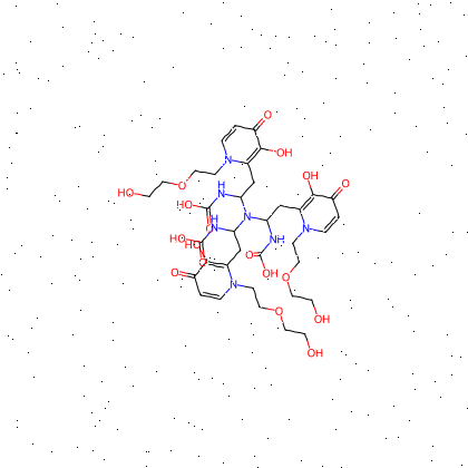 O=C(O)NC(Cc1c(O)c(=O)ccn1CCOCCO)N(C(Cc1c(O)c(=O)ccn1CCOCCO)NC(=O)O)C(Cc1c(O)c(=O)ccn1CCOCCO)NC(=O)O